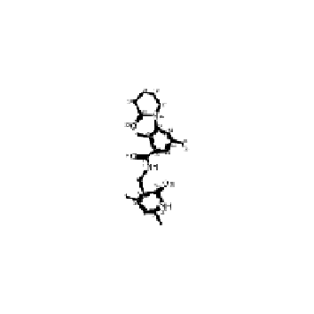 Cc1cc(C)c(CNC(=O)c2cc(Cl)cc(N3CCCCC3=O)c2C)c(=O)[nH]1